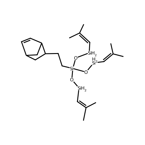 CC(C)=C[SiH2]O[Si](CCC1CC2C=CC1C2)(O[SiH2]C=C(C)C)O[SiH2]C=C(C)C